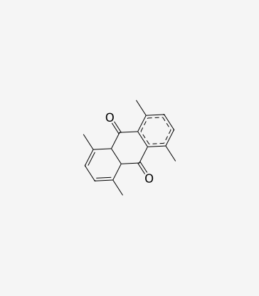 CC1=CC=C(C)C2C(=O)c3c(C)ccc(C)c3C(=O)C12